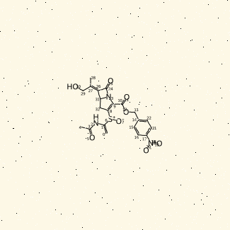 C=C(NC(C)=O)[S+]([O-])C1=C(C(=O)OCc2ccc([N+](=O)[O-])cc2)N2C(=O)C(=C(C)CO)C2C1